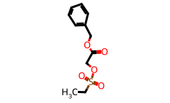 CCS(=O)(=O)OCC(=O)OCc1ccccc1